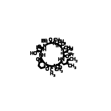 C=C[C@H](C)C[C@@H]1NC(=O)[C@H]([C@H](O)C(C)C)N(C)C(=O)[C@H](C)N(C)C(=O)C([C@@H](C)CC)NC(=O)C([C@H](O)C(C)C)NC(=O)[C@H]2CCCCN2C(=O)[C@H](C)N(C)C1=O